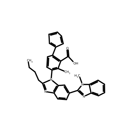 CCCCc1nc2ccc(-c3nc4ccccc4n3C)cc2n1-c1ccc(-c2ccccc2)c(C(=O)O)c1C